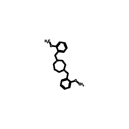 COc1ccccc1CN1CCCN(Cc2ccccc2OC)CC1